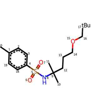 Cc1ccc(S(=O)(=O)NC(C)(C)CCCOCC(C)(C)C)cc1